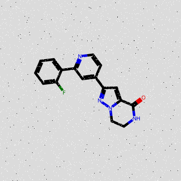 O=C1NCCn2nc(-c3ccnc(-c4ccccc4F)c3)cc21